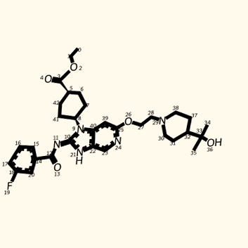 CCOC(=O)[C@H]1CC[C@@H](n2/c(=N/C(=O)c3cccc(F)c3)[nH]c3cnc(OCCN4CCC(C(C)(C)O)CC4)cc32)CC1